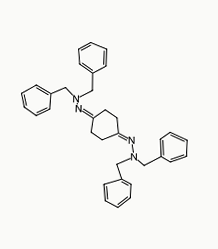 c1ccc(CN(Cc2ccccc2)N=C2CCC(=NN(Cc3ccccc3)Cc3ccccc3)CC2)cc1